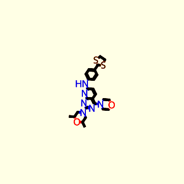 CC1CN(c2nc(N3CCOCC3)c3ccc(Nc4ccc(C5SCCS5)cc4)nc3n2)CC(C)O1